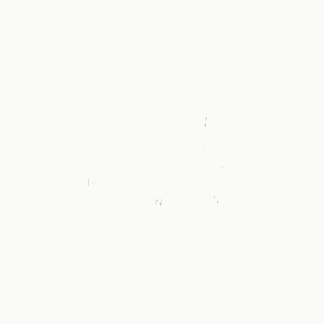 N#CC1(c2ccc(Br)cn2)C2COCC21